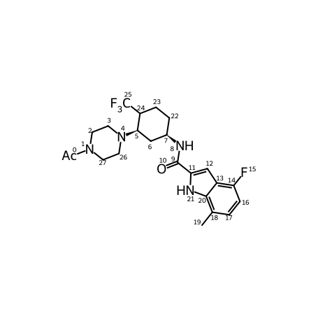 CC(=O)N1CCN([C@@H]2C[C@H](NC(=O)c3cc4c(F)ccc(C)c4[nH]3)CCC2C(F)(F)F)CC1